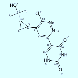 CC(C)(O)[C@H]1C[C@@H]1c1cc(-c2c[nH]c(=O)[nH]c2=O)nnc1Cl